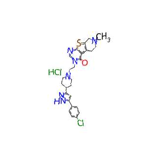 CN1CCc2c(sc3ncn(CCN4CCC(c5cc(-c6ccc(Cl)cc6)[nH]n5)CC4)c(=O)c23)C1.Cl